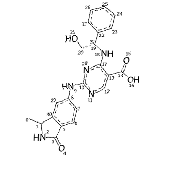 CC1NC(=O)c2ccc(Nc3ncc(C(=O)O)c(N[C@H](CO)c4ccccc4)n3)cc21